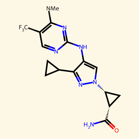 CNc1nc(Nc2cn([C@@H]3C[C@@H]3C(N)=O)nc2C2CC2)ncc1C(F)(F)F